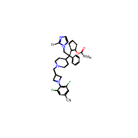 CCc1nccn1CC(c1ccccc1)(C1CCN(CC2CN(c3c(F)cc(C#N)cc3F)C2)CC1)C1CCCC1OC(=O)NC